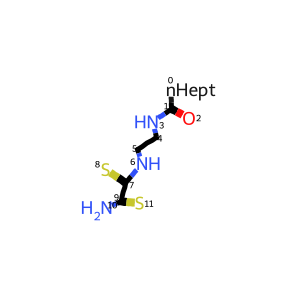 CCCCCCCC(=O)NCCNC(=S)C(N)=S